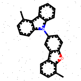 Cc1cccc2c1oc1ccc(-n3c4ccccc4c4c(C)cccc43)cc12